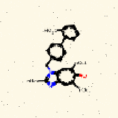 CCCCCCCCc1cc2nc(CCCCCC)n(Cc3ccc(-c4ccccc4C(=O)O)cc3)c2cc(CCCCCCCC)c1=O